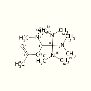 CC(=O)OC(N(C)C)C(N(C)C)(N(C)C)N(C)C